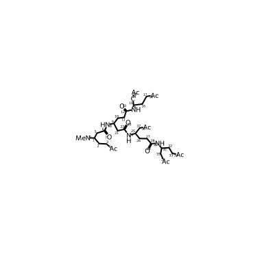 CNC(CCC(C)=O)CC(=O)NC(CCC(=O)NC(CCC(C)=O)CC(C)=O)CC(=O)NC(CCC(=O)NC(CCC(C)=O)CC(C)=O)CC(C)=O